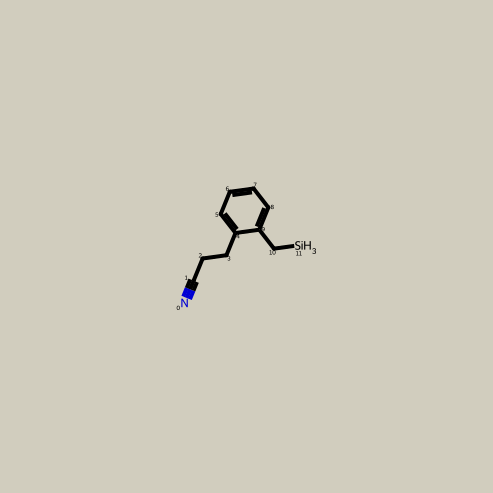 N#CCCc1ccccc1C[SiH3]